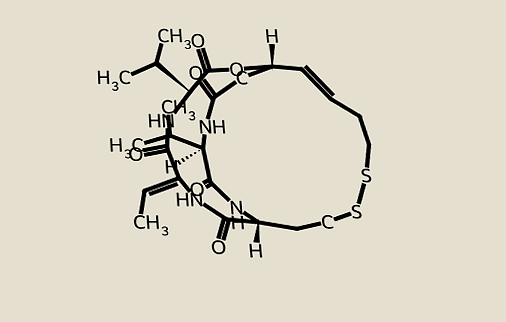 C/C=C1\NC(=O)[C@H]2CCSSCC/C=C/[C@H](CC(=O)N[C@H](C(C)C)C(=O)N2)OC(=O)[C@H](C(C)C)NC1=O